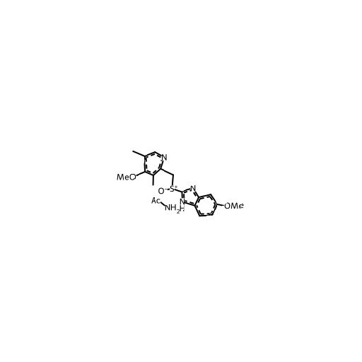 CC(N)=O.COc1ccc2[nH]c([S+]([O-])Cc3ncc(C)c(OC)c3C)nc2c1